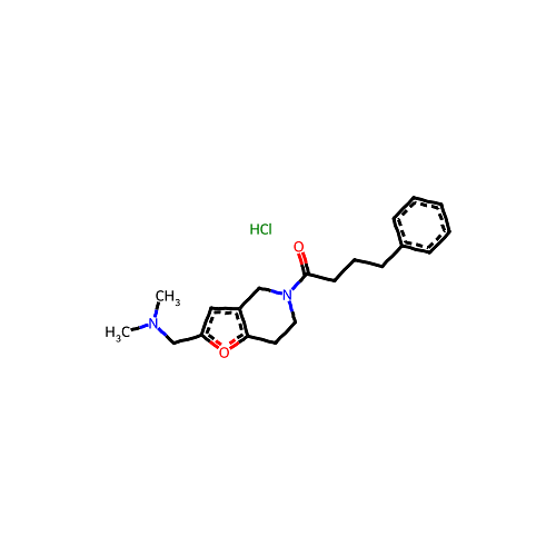 CN(C)Cc1cc2c(o1)CCN(C(=O)CCCc1ccccc1)C2.Cl